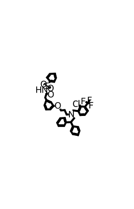 O=C(Cc1cccc(OCCCN(Cc2cccc(C(F)(F)F)c2Cl)CC(c2ccccc2)c2ccccc2)c1)NS(=O)(=O)c1ccccc1